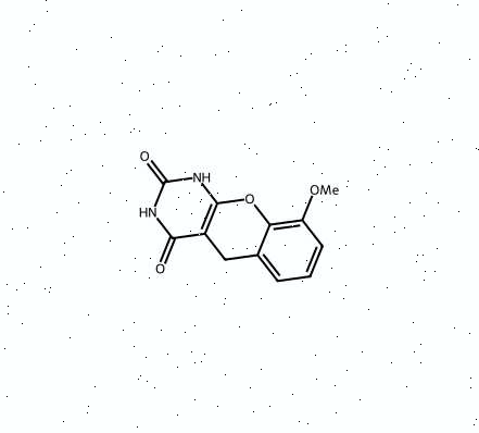 COc1cccc2c1Oc1[nH]c(=O)[nH]c(=O)c1C2